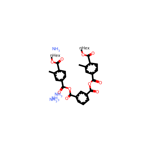 CCCCCCOC(=O)c1ccc(C(=O)OC(=O)c2cccc(C(=O)OC(=O)c3ccc(C(=O)OCCCCCC)c(C)c3)c2)cc1C.N.N.N.N